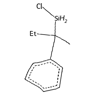 [CH2]CC(C)([SiH2]Cl)c1ccccc1